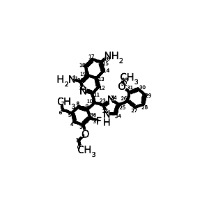 CCOc1cc(CC)cc(C(c2cc3cc(N)ccc3c(N)n2)c2nc(-c3ccccc3OC)c[nH]2)c1F